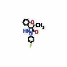 CC1Oc2ccccc2-c2[nH]n(-c3ccc(F)cc3)c(=O)c21